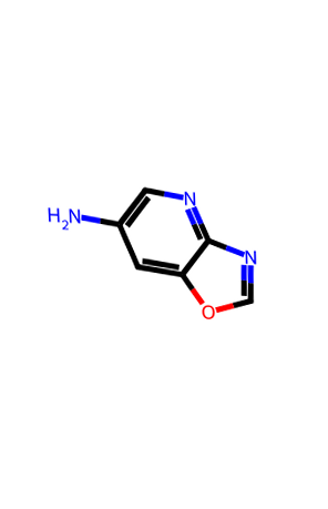 Nc1cnc2ncoc2c1